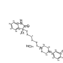 CCC1(CCCCCCN2CCN(c3cccc(Cl)c3)CC2)C(=O)Nc2ccccc21.Cl